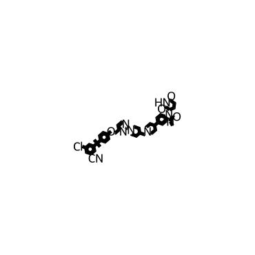 Cn1c(=O)n(C2CCC(=O)NC2=O)c2ccc(C3CCN(CC4CCN(c5nccc(COc6ccc(C(C)(C)c7cc(Cl)cc(C#N)c7)cc6)n5)CC4)CC3)cc21